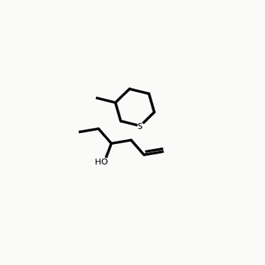 C=CCC(O)CC.CC1CCCSC1